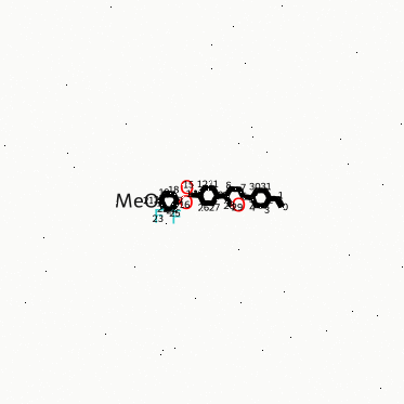 C=CC1CCC(C2CCC(C3CCC(C(=O)Oc4ccc(OC)c(F)c4F)CC3)CO2)CC1